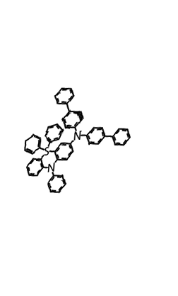 c1c(-c2ccccc2)ccc(N(c2ccc(-c3ccccc3)cc2)c2ccc3c(c2)S(C2=CCCC=C2)(c2ccccc2)c2ccccc2N3c2ccccc2)c#1